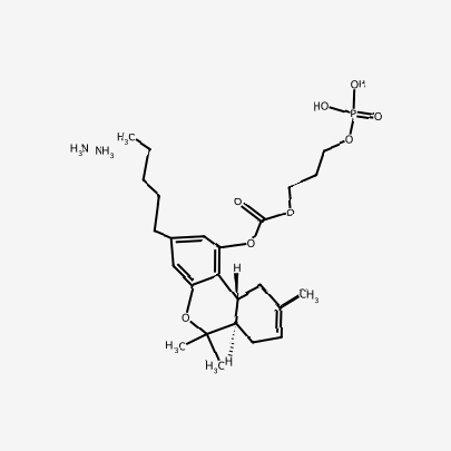 CCCCCc1cc(OC(=O)OCCCOP(=O)(O)O)c2c(c1)OC(C)(C)[C@@H]1CC=C(C)C[C@@H]21.N.N